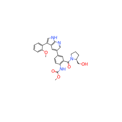 COC(=O)Nc1ccc(-c2cnc3[nH]cc(-c4ccccc4OC)c3c2)cc1C(=O)N1CCC[C@H]1CO